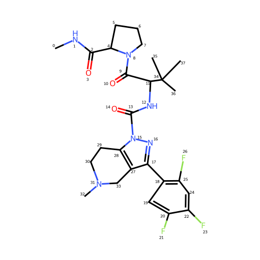 CNC(=O)C1CCCN1C(=O)C(NC(=O)n1nc(-c2cc(F)c(F)cc2F)c2c1CCN(C)C2)C(C)(C)C